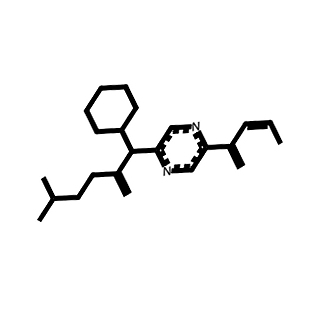 C=C(/C=C\C)c1cnc(C(C(=C)CCC(C)C)C2CCCCC2)cn1